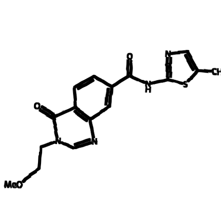 COCCn1cnc2cc(C(=O)Nc3ncc(C)s3)ccc2c1=O